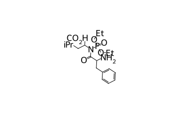 CCOP(=O)(OCC)N(C(=O)C(N)Cc1ccccc1)C(CC(C)C)C(=O)O